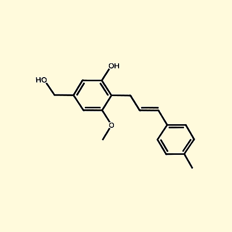 COc1cc(CO)cc(O)c1C/C=C/c1ccc(C)cc1